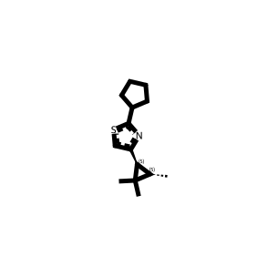 C[C@H]1[C@H](c2csc(C3CCCC3)n2)C1(C)C